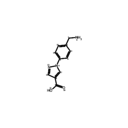 NCc1ccc(-n2cc(C(=O)O)cn2)cc1